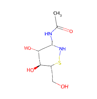 CC(=O)NC1NSC(CO)[C@@H](O)C1O